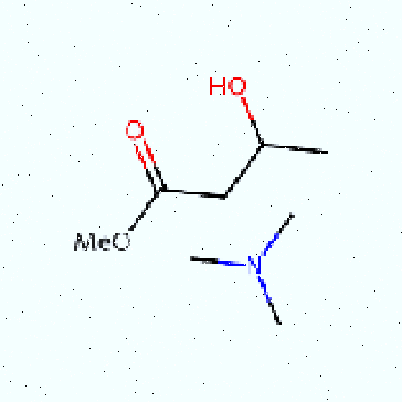 CN(C)C.COC(=O)CC(C)O